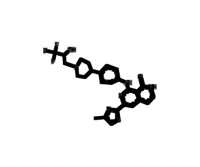 Cc1csc(-c2cc3cc[nH]c(=O)c3c(Nc3ccc(C4CCN(CC(O)C(F)(F)F)CC4)cc3)n2)n1